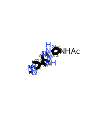 CC(=O)N[C@H]1CC[C@H](Nc2ncc3c(-c4ccn5ncnc5c4)c[nH]c3n2)CC1